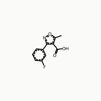 Cc1onc(-c2cccc(F)c2)c1C(=O)O